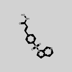 O=C(C=Cc1ccc(S(=O)(=O)n2ccc3ccncc32)cc1)NO